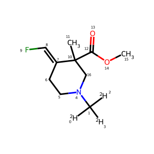 [2H]C([2H])([2H])N1CCC(=CF)C(C)(C(=O)OC)C1